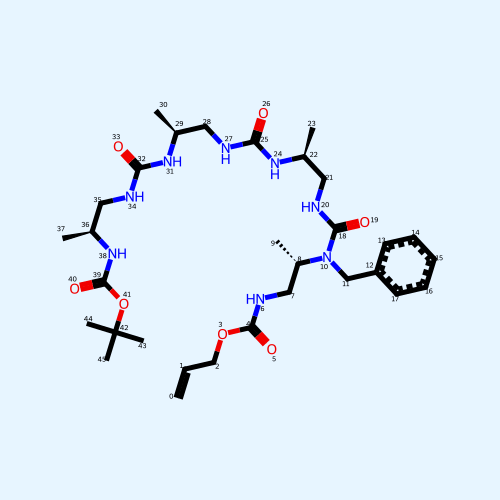 C=CCOC(=O)NC[C@H](C)N(Cc1ccccc1)C(=O)NC[C@H](C)NC(=O)NC[C@H](C)NC(=O)NC[C@H](C)NC(=O)OC(C)(C)C